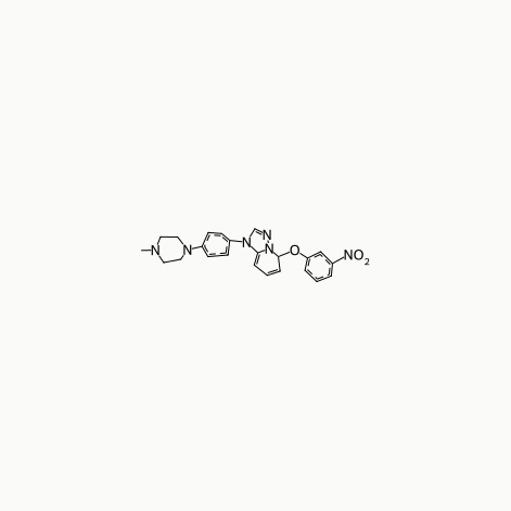 CN1CCN(c2ccc(N3C=NN4C3=CC=CC4Oc3cccc([N+](=O)[O-])c3)cc2)CC1